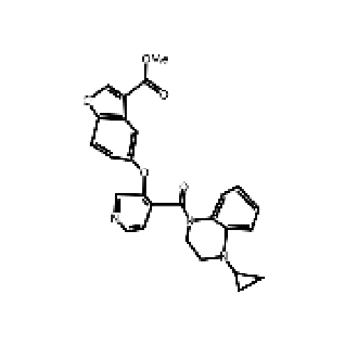 COC(=O)c1coc2ccc(Oc3cnccc3C(=O)N3CCN(C4CC4)c4ccccc43)cc12